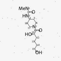 CNC(=O)NC1CCN(C(=O)C(O)CCCCO)CC1